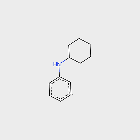 [c]1cccc(NC2CCCCC2)c1